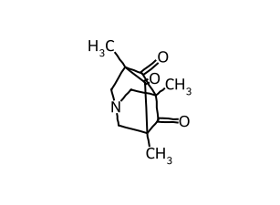 CC12CN3CC(C)(C1=O)C(=O)C(C)(C3)C2=O